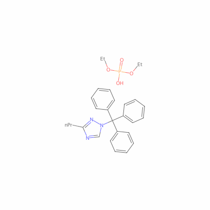 CCCc1ncn(C(c2ccccc2)(c2ccccc2)c2ccccc2)n1.CCOP(=O)(O)OCC